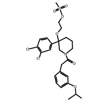 CC(C)Oc1cccc(CC(=O)N2CCCC(OCCOS(C)(=O)=O)(c3ccc(Cl)c(Cl)c3)C2)c1